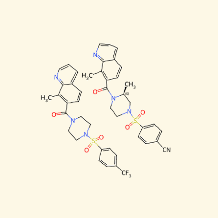 Cc1c(C(=O)N2CCN(S(=O)(=O)c3ccc(C#N)cc3)C[C@@H]2C)ccc2cccnc12.Cc1c(C(=O)N2CCN(S(=O)(=O)c3ccc(C(F)(F)F)cc3)CC2)ccc2cccnc12